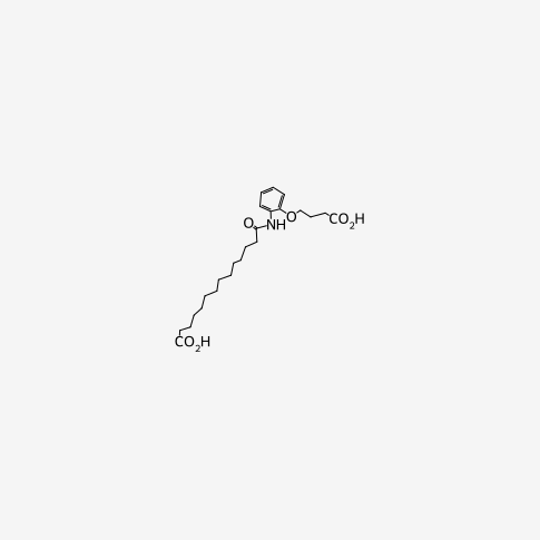 O=C(O)CCCCCCCCCCCCC(=O)Nc1ccccc1OCCCC(=O)O